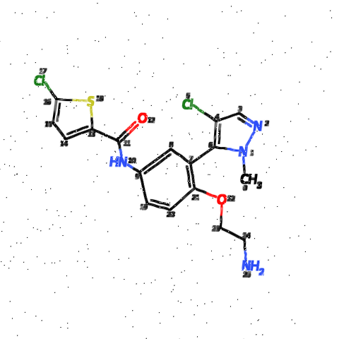 Cn1ncc(Cl)c1-c1cc(NC(=O)c2ccc(Cl)s2)ccc1OCCN